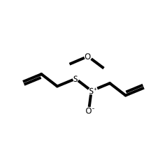 C=CCS[S+]([O-])CC=C.COC